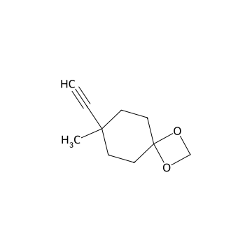 C#CC1(C)CCC2(CC1)OCO2